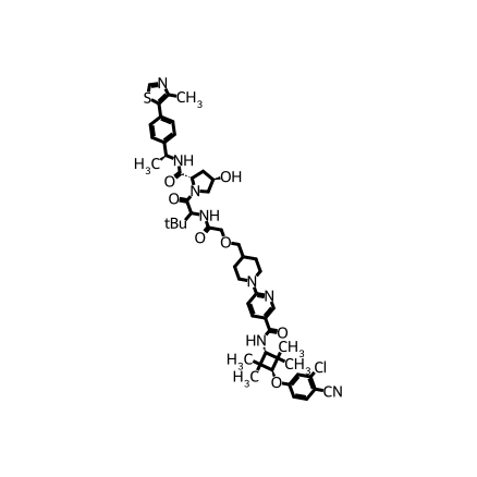 Cc1ncsc1-c1ccc([C@H](C)NC(=O)[C@@H]2C[C@@H](O)CN2C(=O)C(NC(=O)COCC2CCN(c3ccc(C(=O)N[C@H]4C(C)(C)[C@H](Oc5ccc(C#N)c(Cl)c5)C4(C)C)cn3)CC2)C(C)(C)C)cc1